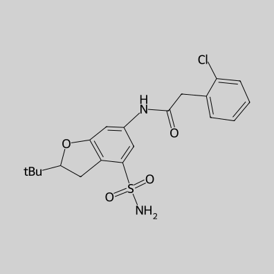 CC(C)(C)C1Cc2c(cc(NC(=O)Cc3ccccc3Cl)cc2S(N)(=O)=O)O1